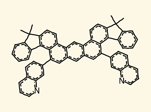 CC1(C)c2ccccc2-c2c1ccc1c2c(-c2ccc3cccnc3c2)cc2cc3cc(-c4ccc5cccnc5c4)c4c5c(ccc4c3cc21)C(C)(C)c1ccccc1-5